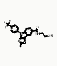 Cc1nc2c(s1)c1cc(C(=O)NCCO)ccc1n2-c1ccc(C(F)(F)F)cc1